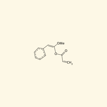 C=CC(=O)OC(=Cc1ccccc1)OC